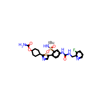 CC(C)(C)NS(=O)(=O)c1cc(NC(=O)NCc2ncccc2F)ccc1-c1cnc(C2CCC(OC(N)=O)CC2)s1